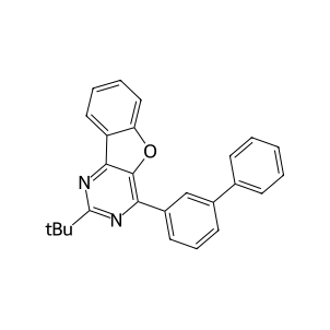 CC(C)(C)c1nc(-c2cccc(-c3ccccc3)c2)c2oc3ccccc3c2n1